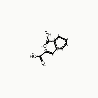 CC(=O)c1ccccc1C=CC(=O)O